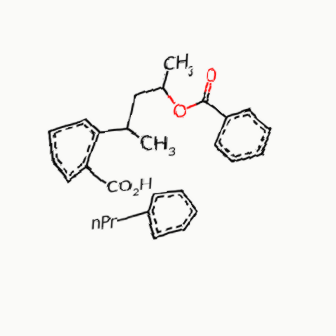 CC(CC(C)c1ccccc1C(=O)O)OC(=O)c1ccccc1.CCCc1ccccc1